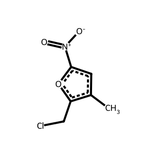 Cc1cc([N+](=O)[O-])oc1CCl